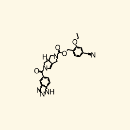 CCOc1cc(C#N)ccc1COC(=O)N1CC2=CN(C(=O)c3ccc4[nH]nnc4c3)C[C@H]2C1